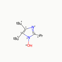 CC(C)c1nc(C(C)(C)C)c(C(C)(C)C)n1O